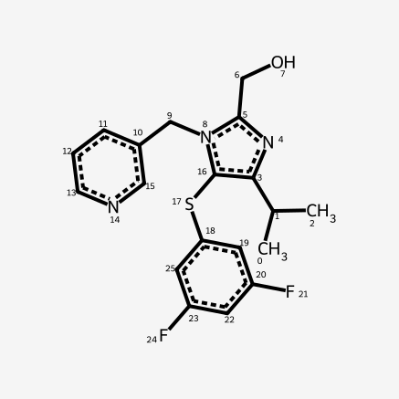 CC(C)c1nc(CO)n(Cc2cccnc2)c1Sc1cc(F)cc(F)c1